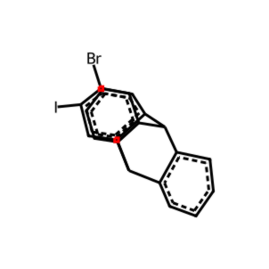 Brc1cc2c(cc1I)C1c3ccccc3C2c2ccccc21